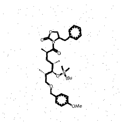 COc1ccc(COC[C@H](C)[C@H](O[Si](C)(C)C(C)(C)C)[C@@H](C)C[C@@H](C)C(=O)N2C(=O)OCC2Cc2ccccc2)cc1